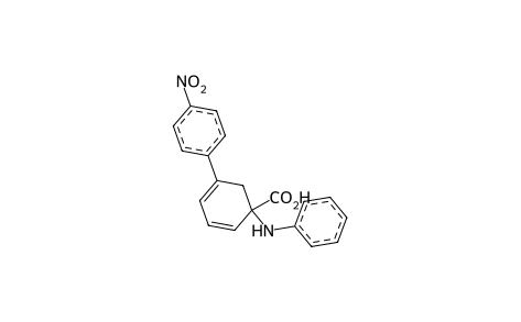 O=C(O)C1(Nc2ccccc2)C=CC=C(c2ccc([N+](=O)[O-])cc2)C1